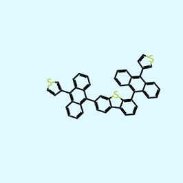 c1ccc2c(-c3ccc4c(c3)sc3c(-c5c6ccccc6c(-c6ccsc6)c6ccccc56)cccc34)c3ccccc3c(-c3ccsc3)c2c1